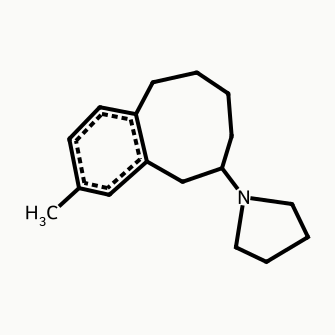 Cc1ccc2c(c1)CC(N1CCCC1)CCCC2